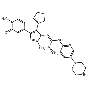 C=N/C(=N\n1c(C)cc(-c2ccn(C)c(=O)c2)c1C1=CCCC1)Nc1ccc(N2CCNCC2)cn1